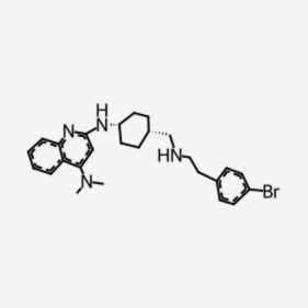 CN(C)c1cc(N[C@H]2CC[C@@H](CNCCc3ccc(Br)cc3)CC2)nc2ccccc12